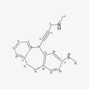 CNCC#CC1c2ccccc2CCc2ccc(SC)cc21